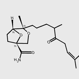 CC(C)=CCC(=O)C(C)CCC[C@]1(C)OC[C@]2(C(N)=O)CC[C@H]1O2